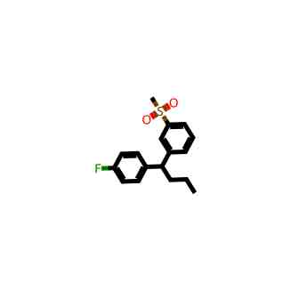 CCCC(c1ccc(F)cc1)c1cccc(S(C)(=O)=O)c1